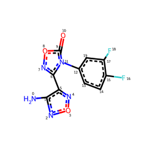 Nc1nonc1-c1noc(=O)n1-c1ccc(F)c(F)c1